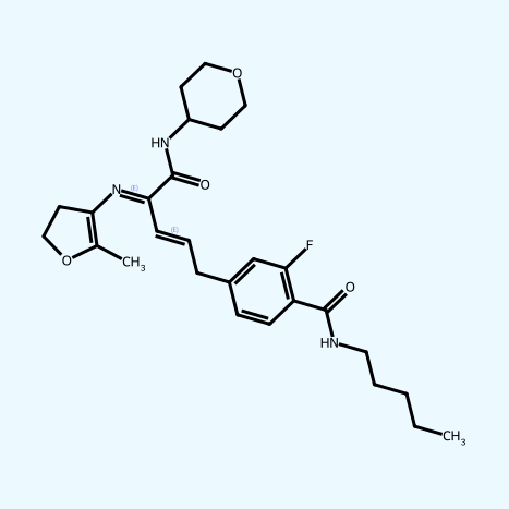 CCCCCNC(=O)c1ccc(C/C=C/C(=N\C2=C(C)OCC2)C(=O)NC2CCOCC2)cc1F